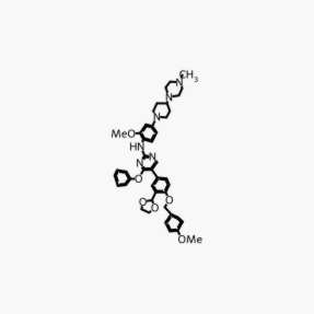 COc1ccc(COc2ccc(-c3cnc(Nc4ccc(N5CCC(N6CCN(C)CC6)CC5)cc4OC)nc3Oc3ccccc3)cc2C2OCCO2)cc1